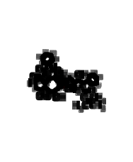 CC(=O)O[C@@]12CO[C@@H]1C[C@H](O)[C@@]1(C)C(=O)[C@H](O)C3=C(C)[C@@H](CC(=O)[C@H](O)[C@@H](NC(=O)OC(C)(C)C)c4ccccc4)C[C@@](O)([C@@H](OC(=O)c4ccccc4)[C@H]21)C3(C)C